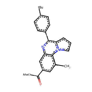 COC(=O)c1cc(C)c2c(c1)nc(-c1ccc(C(C)(C)C)cc1)c1cccn12